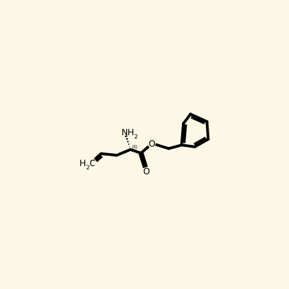 C=CC[C@H](N)C(=O)OCc1ccccc1